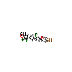 COc1ccc(-c2ccc(-c3ccc(C4CCC(S)CO4)cc3F)cc2)c(F)c1F